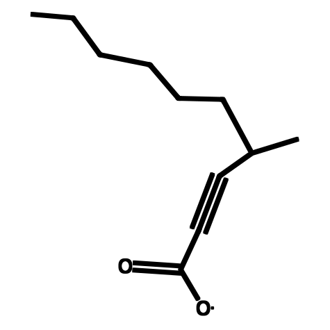 CCCCCCC(C)C#CC([O])=O